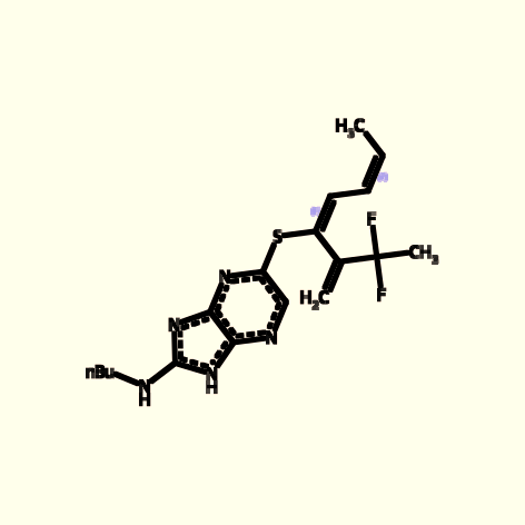 C=C(/C(=C\C=C/C)Sc1cnc2[nH]c(NCCCC)nc2n1)C(C)(F)F